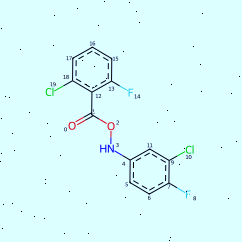 O=C(ONc1ccc(F)c(Cl)c1)c1c(F)cccc1Cl